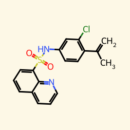 C=C(C)c1ccc(NS(=O)(=O)c2cccc3cccnc23)cc1Cl